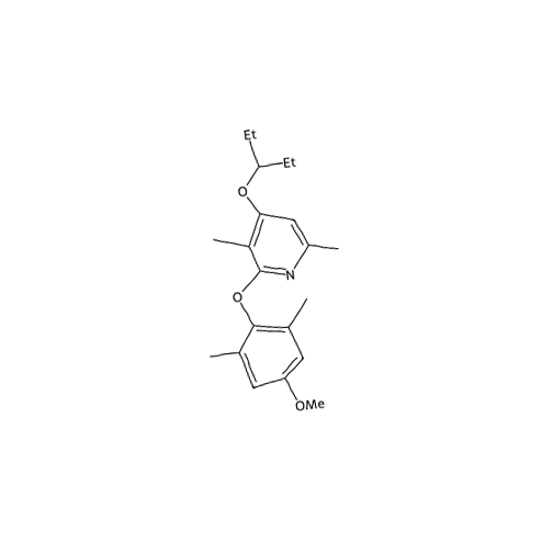 CCC(CC)Oc1cc(C)nc(Oc2c(C)cc(OC)cc2C)c1C